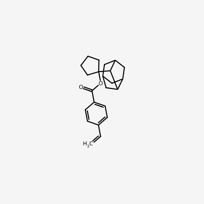 C=Cc1ccc(C(=O)OC2(C3C4CC5CC(C4)C3C5)CCCC2)cc1